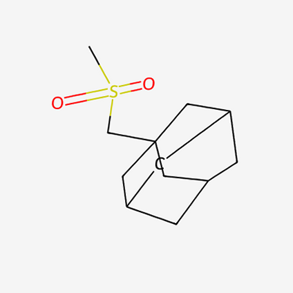 CS(=O)(=O)CC12CC3CC(CC(C3)C1)C2